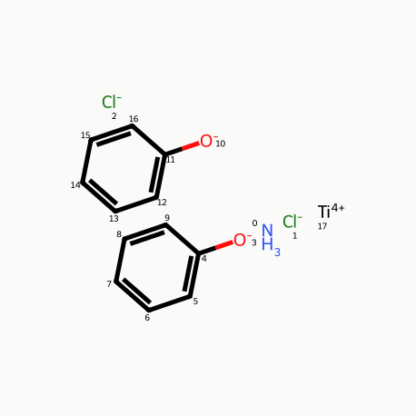 N.[Cl-].[Cl-].[O-]c1ccccc1.[O-]c1ccccc1.[Ti+4]